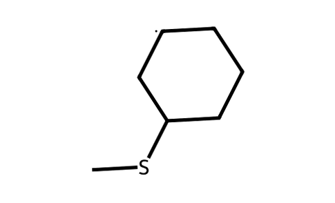 CSC1C[CH]CCC1